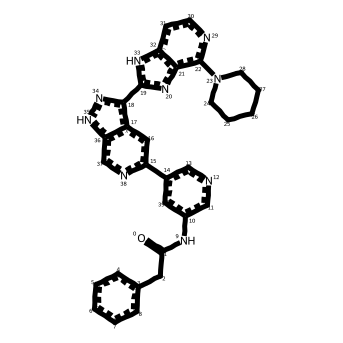 O=C(Cc1ccccc1)Nc1cncc(-c2cc3c(-c4nc5c(N6CCCCC6)nccc5[nH]4)n[nH]c3cn2)c1